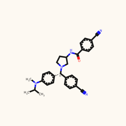 CC(C)N(C)c1ccc([C@@H](c2ccc(C#N)cc2)N2CCC(NC(=O)c3ccc(C#N)cc3)C2)cc1